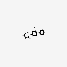 CSc1c(-c2ccccc2)ccc(N2CCCC(O)C2=O)c1F